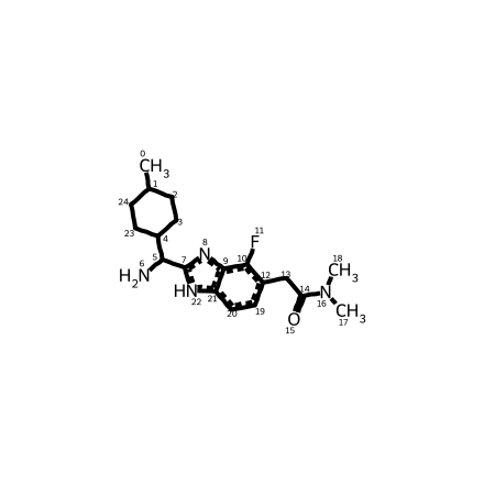 CC1CCC(C(N)c2nc3c(F)c(CC(=O)N(C)C)ccc3[nH]2)CC1